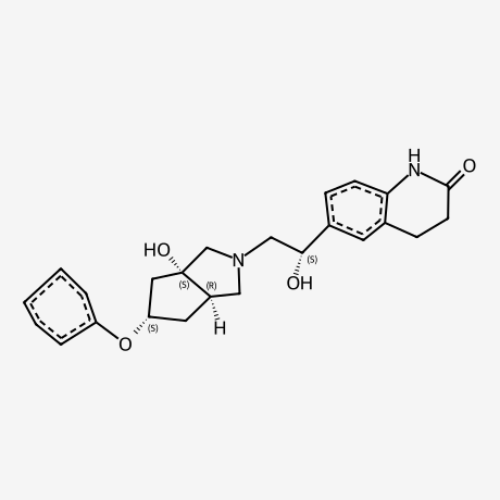 O=C1CCc2cc([C@H](O)CN3C[C@H]4C[C@H](Oc5ccccc5)C[C@@]4(O)C3)ccc2N1